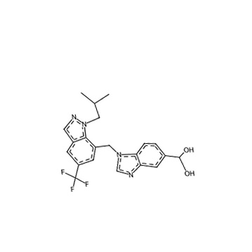 CC(C)Cn1ncc2cc(C(F)(F)F)cc(Cn3cnc4cc(C(O)O)ccc43)c21